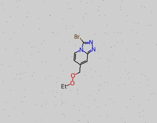 CCOOCc1ccn2c(Br)nnc2c1